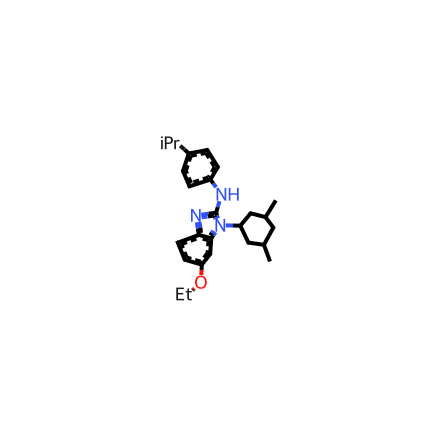 CCOc1ccc2nc(Nc3ccc(C(C)C)cc3)n(C3CC(C)CC(C)C3)c2c1